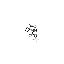 CC(C)(C)OC(=O)NC1(C(=O)I)CCC1